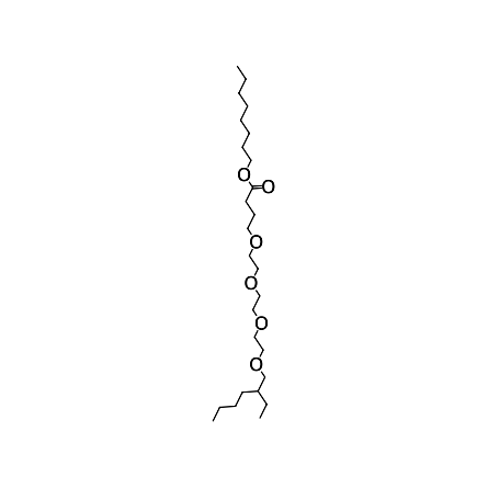 CCCCCCCCOC(=O)CCCOCCOCCOCCOCC(CC)CCCC